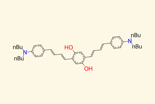 CCCCN(CCCC)c1ccc(/C=C/C=C/c2cc(O)c(/C=C/C=C/c3ccc(N(CCCC)CCCC)cc3)cc2O)cc1